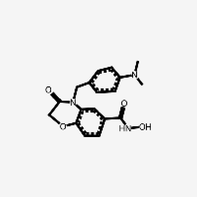 CN(C)c1ccc(CN2C(=O)COc3ccc(C(=O)NO)cc32)cc1